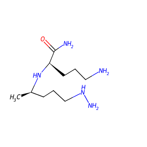 C[C@H](CCCNN)N[C@H](CCCN)C(N)=O